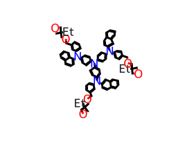 CCC1(COCc2ccc(N(c3ccc(N(c4ccc(N(c5cccc(COCC6(CC)COC6)c5)c5ccc6ccccc6c5)cc4)c4ccc(N(c5cccc(COCC6(CC)COC6)c5)c5cccc6ccccc56)cc4)cc3)c3ccc4ccccc4c3)cc2)COC1